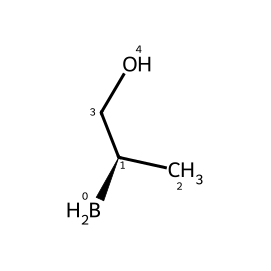 B[C@H](C)CO